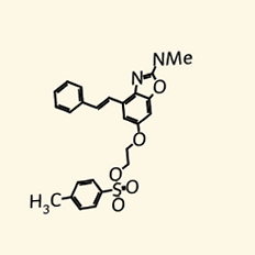 CNc1nc2c(C=Cc3ccccc3)cc(OCCOS(=O)(=O)c3ccc(C)cc3)cc2o1